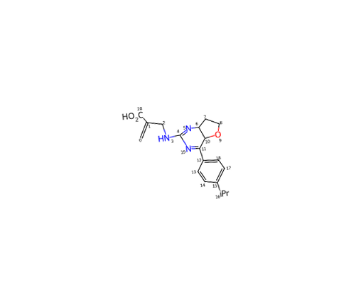 C=C(CNC1=NC2CCOC2C(c2ccc(C(C)C)cc2)=N1)C(=O)O